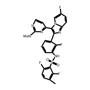 CNc1nccc(-c2c(-c3cccc(NS(=O)(=O)c4c(F)ccc(C)c4F)c3F)nc3ccc(F)cn23)n1